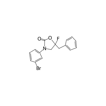 O=C1OC(F)(Cc2ccccc2)CN1c1cccc(Br)c1